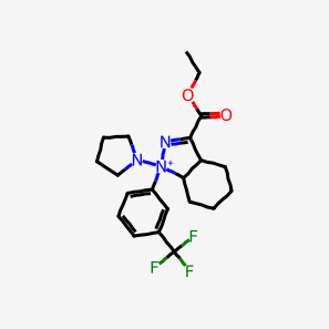 CCOC(=O)C1=N[N+](c2cccc(C(F)(F)F)c2)(N2CCCC2)C2CCCCC12